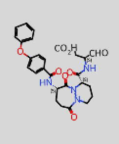 O=C[C@H](CC(=O)O)NC(=O)[C@@H]1CCCN2C(=O)CC[C@H](NC(=O)c3ccc(Oc4ccccc4)cc3)C(=O)N12